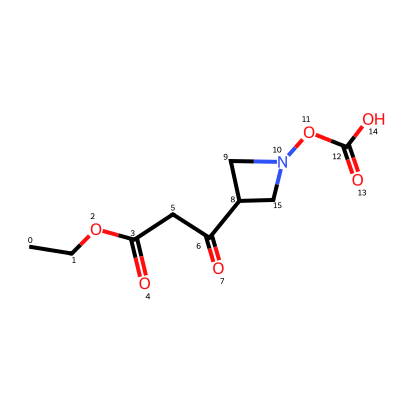 CCOC(=O)CC(=O)C1CN(OC(=O)O)C1